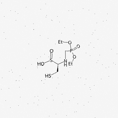 CCOP(=O)(CN[C@@H](CS)S(=O)O)OCC